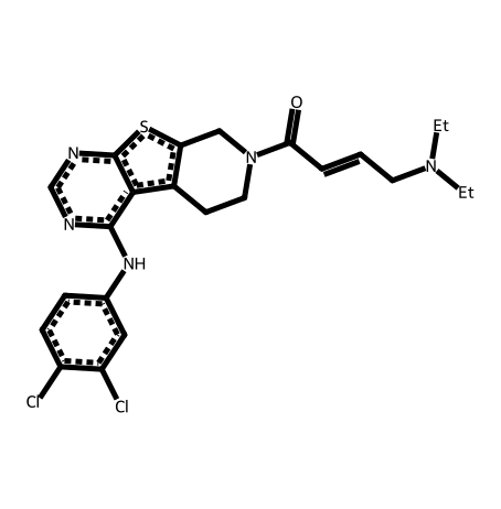 CCN(CC)CC=CC(=O)N1CCc2c(sc3ncnc(Nc4ccc(Cl)c(Cl)c4)c23)C1